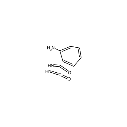 N=C=O.N=C=O.Nc1ccccc1